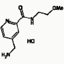 COCCNC(=O)c1cc(CN)ccn1.Cl